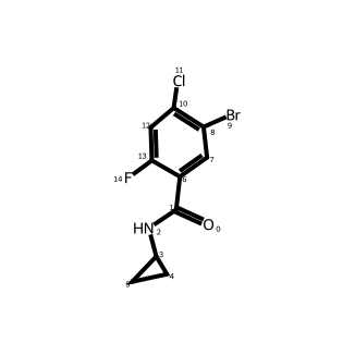 O=C(NC1CC1)c1cc(Br)c(Cl)cc1F